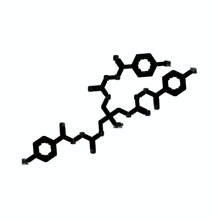 CCCC(COC(=O)OOC(=O)c1ccc(CC)cc1)(COC(=O)OOC(=O)c1ccc(CC)cc1)COC(=O)OOC(=O)c1ccc(CC)cc1